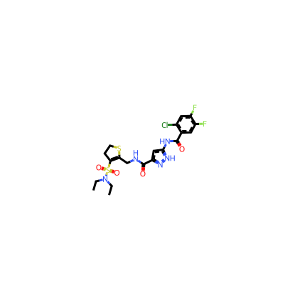 CCN(CC)S(=O)(=O)C1=C(CNC(=O)c2cc(NC(=O)c3cc(F)c(F)cc3Cl)[nH]n2)SCC1